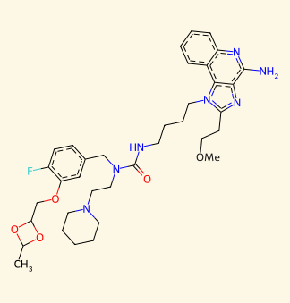 COCCc1nc2c(N)nc3ccccc3c2n1CCCCNC(=O)N(CCN1CCCCC1)Cc1ccc(F)c(OCC2OC(C)O2)c1